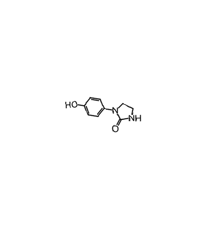 O=C1NCCN1c1ccc(O)cc1